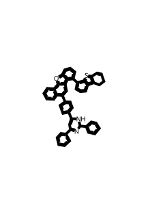 C1=Cc2sc3c(-c4cccc5oc6c7ccccc7c(-c7ccc(C8=CC(c9ccccc9)=NC(c9ccccc9)N8)cc7)cc6c45)cccc3c2CC1